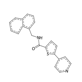 O=C(NCc1cccc2ccccc12)c1ccc(-c2ccncc2)s1